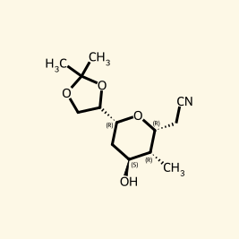 C[C@@H]1[C@@H](O)C[C@H](C2COC(C)(C)O2)O[C@@H]1CC#N